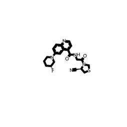 N#C[C@@H]1CSCN1C(=O)CNC(=O)c1ccnc2ccc(N3CCC[C@@H](F)C3)cc12